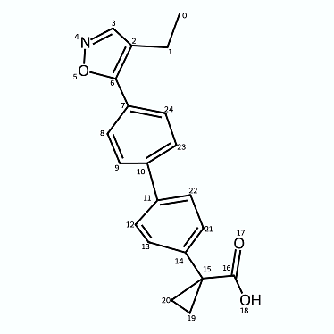 CCc1cnoc1-c1ccc(-c2ccc(C3(C(=O)O)CC3)cc2)cc1